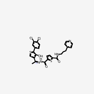 C/C(=N/NC(=O)c1ccc(C(=O)NCCCc2ccncc2)s1)c1csc(-c2ccc(Cl)c(Cl)c2)c1O